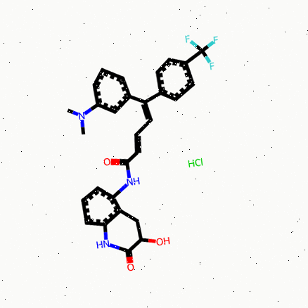 CN(C)c1cccc(C(=CC=CC(=O)Nc2cccc3c2CC(O)C(=O)N3)c2ccc(C(F)(F)F)cc2)c1.Cl